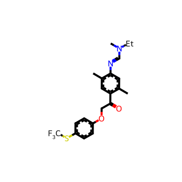 CCN(C)C=Nc1cc(C)c(C(=O)COc2ccc(SC(F)(F)F)cc2)cc1C